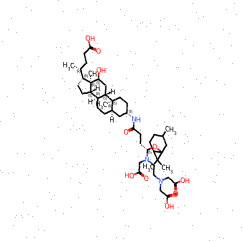 CC1CCC2C(C)(C)C2(O[C@@H](CCC(=O)N[C@H]2CC[C@@]3(C)[C@H](CC[C@@H]4[C@@H]3C[C@H](O)[C@]3(C)[C@@H]([C@H](C)CCC(=O)O)CC[C@@H]43)C2)N(CCN(CC(=O)O)CC(=O)O)CC(=O)O)C1